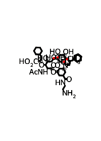 CC(=O)NC1C(O[C@@H](CC2CCCCC2)C(=O)O)[C@@H](O)C(CO)O[C@H]1O[C@@H]1CC(C(=O)NCCN)C[C@@H](n2cc(-c3ccccc3)nn2)C1O[C@@H]1OC(C)[C@@H](O)C(O)C1O